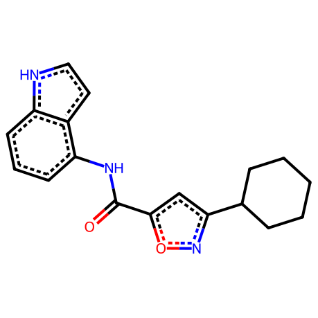 O=C(Nc1cccc2[nH]ccc12)c1cc(C2CCCCC2)no1